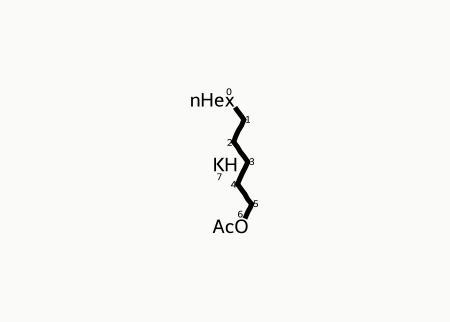 CCCCCCCCCCCOC(C)=O.[KH]